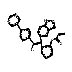 C=CC(=O)Oc1ccccc1/C(=C(\CC)c1ccc(-c2cncnc2)cc1)c1ccc2[nH]ncc2c1